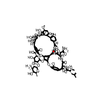 CN[C@H](CC(C)C)C(=O)NC1C(=O)N[C@@H](CC(N)=O)C(=O)N[C@H]2C(=O)N[C@@H](C)c3ccc(O)c(c3)-c3c(O)cc(OC)cc3[C@@H](C(=O)O)N[C@H](O)[C@@H](NO)[C@H](O)c3ccc(c(Cl)c3)Oc3cc2cc(c3OC2O[C@H](CO)[C@@H](O)[C@H](O)[C@H]2O[C@H]2C[C@](C)(N)[C@H](O)[C@H](C)O2)Oc2ccc(cc2Cl)[C@H]1O